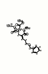 CC(C)(C)OC(=O)N[C@@H](C/C(=C/CCOCc1ccccc1)C(=O)OC(C)(C)C)C(=O)OC(C)(C)C